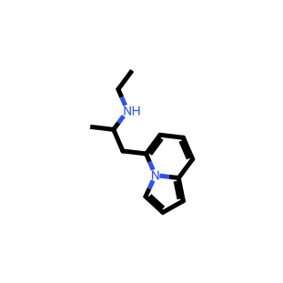 CCNC(C)Cc1cccc2cccn12